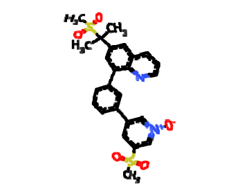 CC(C)(c1cc(-c2cccc(-c3cc(S(C)(=O)=O)c[n+]([O-])c3)c2)c2ncccc2c1)S(C)(=O)=O